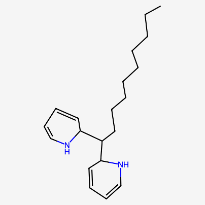 CCCCCCCCCC(C1C=CC=CN1)C1C=CC=CN1